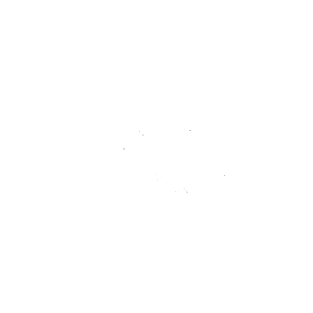 Cc1cccc(C)c1-n1ccc(C)c1-c1c(C)cn2ccccc12